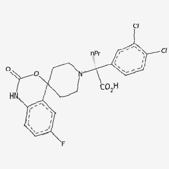 CCC[C@@](C(=O)O)(c1ccc(Cl)c(Cl)c1)N1CCC2(CC1)OC(=O)Nc1ccc(F)cc12